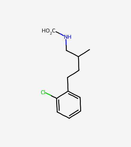 CC(CCc1ccccc1Cl)CNC(=O)O